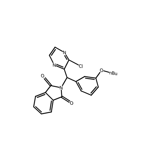 CCCCOc1cccc(C(c2nccnc2Cl)N2C(=O)c3ccccc3C2=O)c1